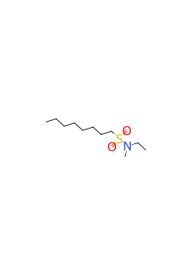 CCCCCCCCS(=O)(=O)N(C)CC